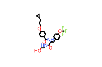 O=C(NCCO)C(=Cc1ccc(OC(F)(F)F)cc1)NC(=O)c1ccc(OCCCC2CC2)cc1